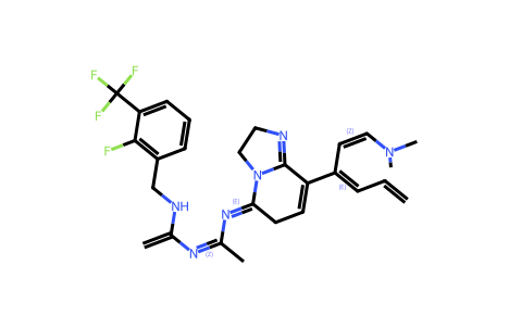 C=C/C=C(\C=C/N(C)C)C1=CC/C(=N\C(C)=N/C(=C)NCc2cccc(C(F)(F)F)c2F)N2CCN=C12